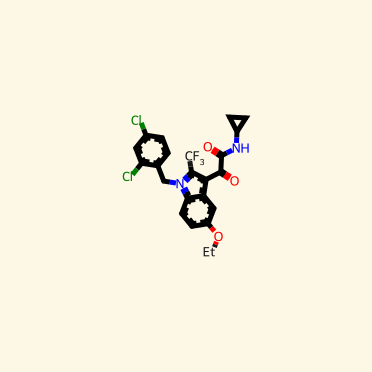 CCOc1ccc2c(c1)c(C(=O)C(=O)NC1CC1)c(C(F)(F)F)n2Cc1ccc(Cl)cc1Cl